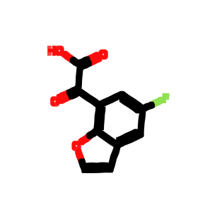 O=C(O)C(=O)c1cc(F)cc2ccoc12